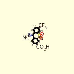 N#C/N=C1\c2ccc(C(=O)O)cc2S(=O)(=O)c2cc(C(F)(F)F)ccc21